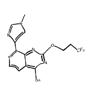 Cn1cnc(-c2nccc3c(O)nc(OCCC(F)(F)F)nc23)c1